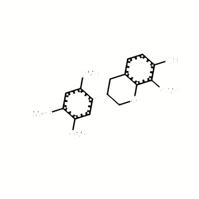 COc1cc(OC)c([C@H]2COc3c(ccc(O)c3OC)C2)cc1OC